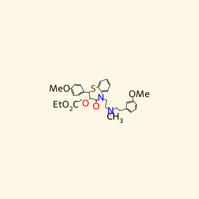 CCOC(=O)COC1C(=O)N(CCN(C)CCc2cccc(OC)c2)c2ccccc2SC1c1ccc(OC)cc1